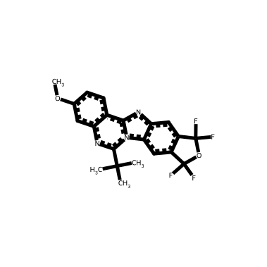 COc1ccc2c(c1)nc(C(C)(C)C)n1c3cc4c(cc3nc21)C(F)(F)OC4(F)F